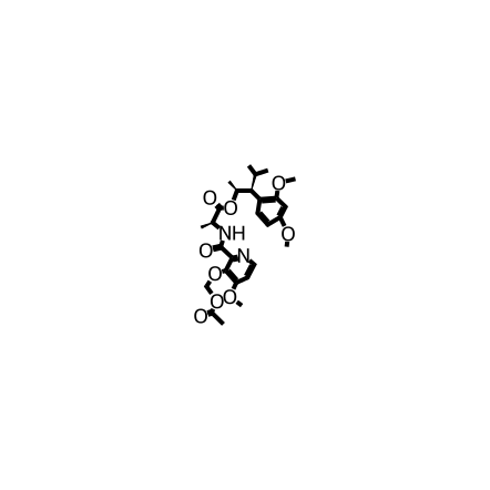 COc1ccc([C@H](C(C)C)[C@H](C)OC(=O)[C@H](C)NC(=O)c2nccc(OC)c2OCOC(C)=O)c(OC)c1